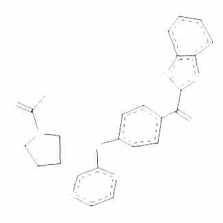 CC(=O)N1CC[C@@H](c2nccnc2Oc2ccc(C(=O)c3nc4ccccc4[nH]3)cc2)C1